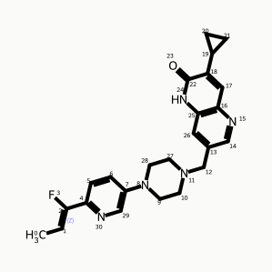 C/C=C(\F)c1ccc(N2CCN(Cc3cnc4cc(C5CC5)c(=O)[nH]c4c3)CC2)cn1